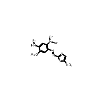 CCNc1cc(N(C(C)=O)C(C)C)c(N=Nc2ncc([N+](=O)[O-])s2)cc1OC